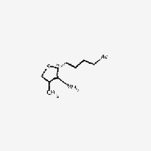 CC(=O)CCCC[C@H]1SCC(C)C1N